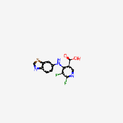 O=C(O)c1cnc(F)c(F)c1Nc1ccc2ncsc2c1